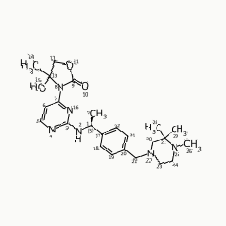 C[C@H](Nc1nccc(N2C(=O)OCC2(C)O)n1)c1ccc(CN2CCN(C)C(C)(C)C2)cc1